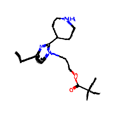 CCc1cn(CCOC(=O)C(C)(C)C)c(C2CCNCC2)n1